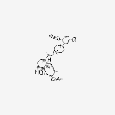 COc1ccc(Cl)cc1N1CCN(C[C@@H](C)[C@@H]2CC[C@@H](C)[C@]3(O)[C][C@@H](OC(C)=O)C(C)=C[C@H]23)CC1